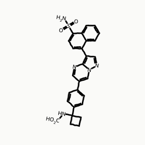 NS(=O)(=O)c1ccc(-c2cnn3cc(-c4ccc(C5(NC(=O)O)CCC5)cc4)cnc23)c2ccccc12